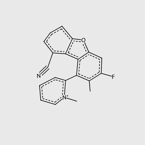 Cc1c(F)cc2oc3cccc(C#N)c3c2c1-c1cccc[n+]1C